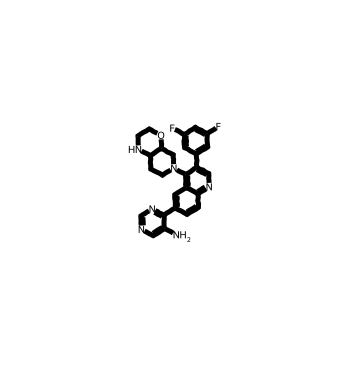 Nc1cncnc1-c1ccc2ncc(-c3cc(F)cc(F)c3)c(N3CCC4NCCOC4C3)c2c1